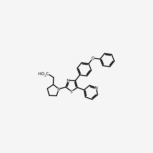 O=C(O)CC1CCCN1c1nc(-c2ccc(Oc3ccccc3)cc2)c(-c2cccnc2)s1